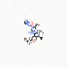 CC(C)C1CN(C2(C)N=C(C3CC3)C3=C(CC(C)(C)OC3)C2=N)CCN1C(=O)Cn1ccnn1